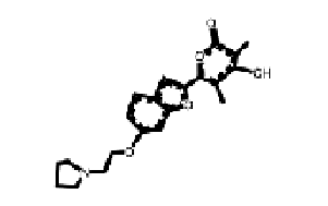 Cc1c(-c2cc3ccc(OCCN4CCCC4)cc3o2)oc(=O)c(C)c1O